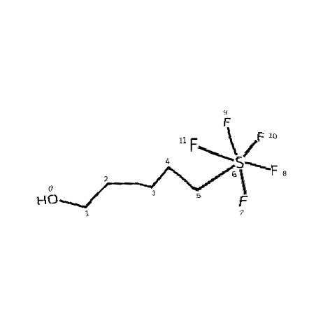 OCCCCCS(F)(F)(F)(F)F